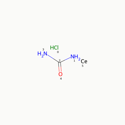 Cl.NC(N)=O.[Ce]